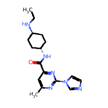 CCN[C@H]1CC[C@H](NC(=O)c2cc(C)nc(-n3ccnc3)n2)CC1